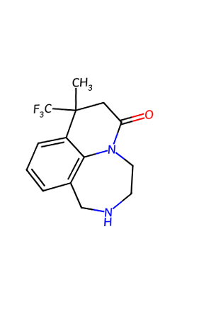 CC1(C(F)(F)F)CC(=O)N2CCNCc3cccc1c32